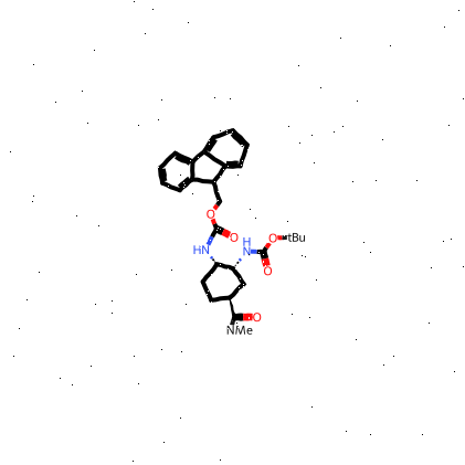 CNC(=O)[C@H]1CC[C@H](NC(=O)OCC2c3ccccc3-c3ccccc32)[C@H](NC(=O)OC(C)(C)C)C1